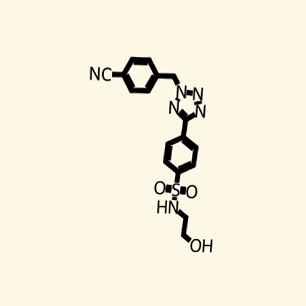 N#Cc1ccc(Cn2nnc(-c3ccc(S(=O)(=O)NCCO)cc3)n2)cc1